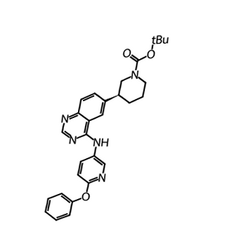 CC(C)(C)OC(=O)N1CCC[C@@H](c2ccc3ncnc(Nc4ccc(Oc5ccccc5)nc4)c3c2)C1